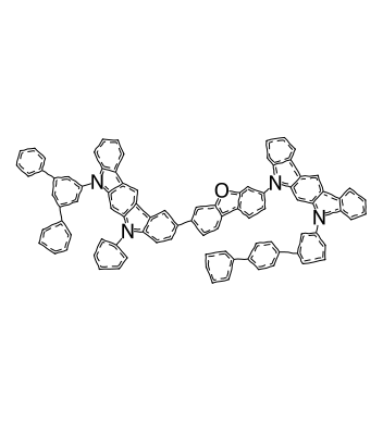 c1ccc(-c2ccc(-c3cccc(-n4c5ccccc5c5cc6c7ccccc7n(-c7ccc8c(c7)oc7cc(-c9ccc%10c(c9)c9cc%11c%12ccccc%12n(-c%12cc(-c%13ccccc%13)cc(-c%13ccccc%13)c%12)c%11cc9n%10-c9ccccc9)ccc78)c6cc54)c3)cc2)cc1